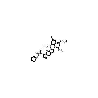 CC(CNC(=O)O)Oc1ccc(F)cc1C(C)N1CCc2cn3ncc(NC(=O)Oc4ccccc4)c3nc21